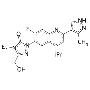 CCn1c(CO)nn(-c2cc3c(C(C)C)cc(-c4c[nH]nc4C)nc3cc2F)c1=O